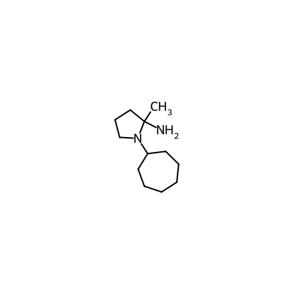 CC1(N)CCCN1C1CCCCCC1